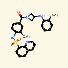 COc1ccccc1NC1CN(C(=O)c2ccc(NS(=O)(=O)c3cccc4cccnc34)c(OC)c2)C1